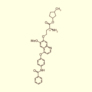 COc1cc2c(Oc3ccc(NC(=O)c4ccccc4)cc3)ccnc2cc1OCC[C@H](N)C(=O)OC1CCC(C)C1